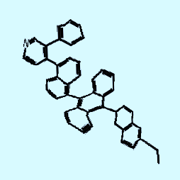 CCc1ccc2c(c1)C=CC(c1c3ccccc3c(-c3cccc4c(-c5ccncc5-c5ccccc5)cccc34)c3ccccc13)C2